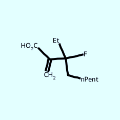 C=C(C(=O)O)C(F)(CC)CCCCCC